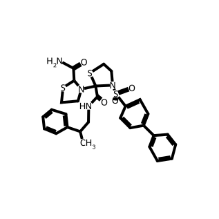 CC(CNC(=O)C1(N2CCSC2C(N)=O)SCCN1S(=O)(=O)c1ccc(-c2ccccc2)cc1)c1ccccc1